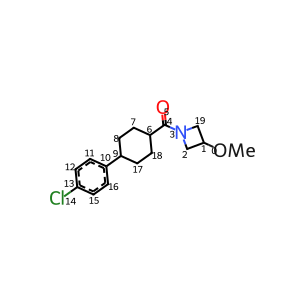 COC1CN(C(=O)C2CCC(c3ccc(Cl)cc3)CC2)C1